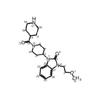 COCCn1c(=O)n(C2CCN(C(=O)C3CCNCC3)CC2)c2ccccc21